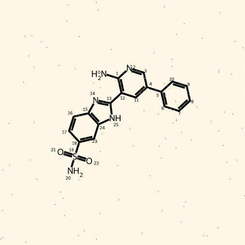 Nc1ncc(-c2ccccc2)cc1-c1nc2ccc(S(N)(=O)=O)cc2[nH]1